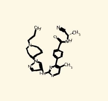 Cc1cnc(Nc2cnn(C3CCN(CCO)CC3)c2)nc1-c1ccc(C(=O)N[C@@H](C)C#N)cc1